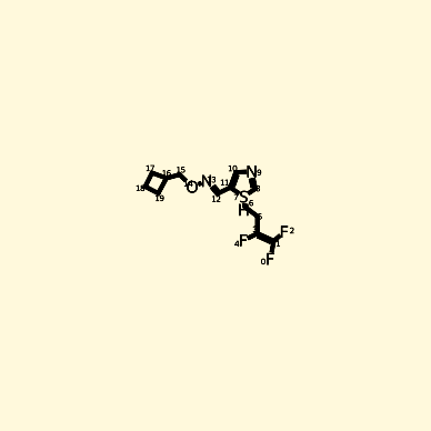 FC(F)=C(F)CC[SH]1C=NC=C1/C=N/OCC1CCC1